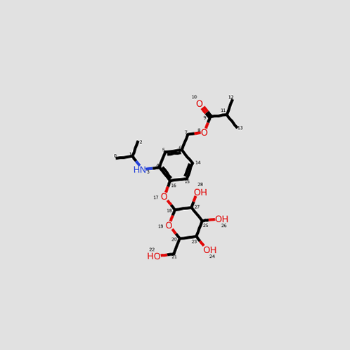 CC(C)Nc1cc(COC(=O)C(C)C)ccc1OC1OC(CO)C(O)C(O)C1O